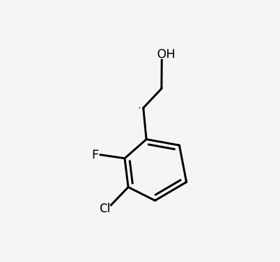 OC[CH]c1cccc(Cl)c1F